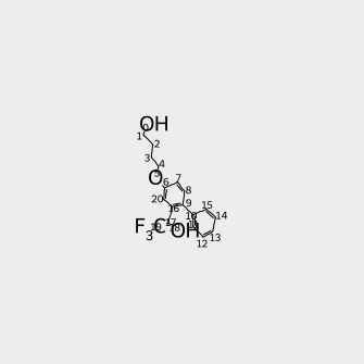 OCCCCOc1ccc(-c2ccccc2)c(C(O)C(F)(F)F)c1